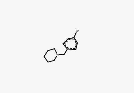 Brc1ccc(CN2CC[CH]CC2)cc1